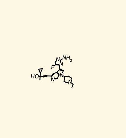 CCN1CCC(n2cc(-c3nc(N)ncc3F)c3cc(C#CC(C)(O)C4CC4)ncc32)CC1